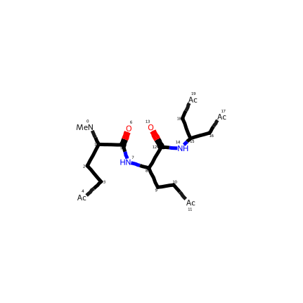 CNC(CCC(C)=O)C(=O)NC(CCC(C)=O)C(=O)NC(CC(C)=O)CC(C)=O